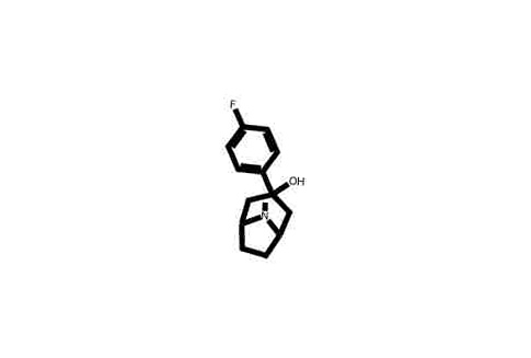 CN1C2CCC1CC(O)(c1ccc(F)cc1)C2